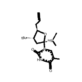 C=CC[C@H]1O[C@](n2cc(C)c(=O)[nH]c2=O)([SiH](C)C)C[C@@H]1C(C)(C)C